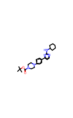 CC(C)(C)OC(=O)N1CCN(c2ccc(-c3ccnc(NC4CCCCC4)n3)cc2)CC1